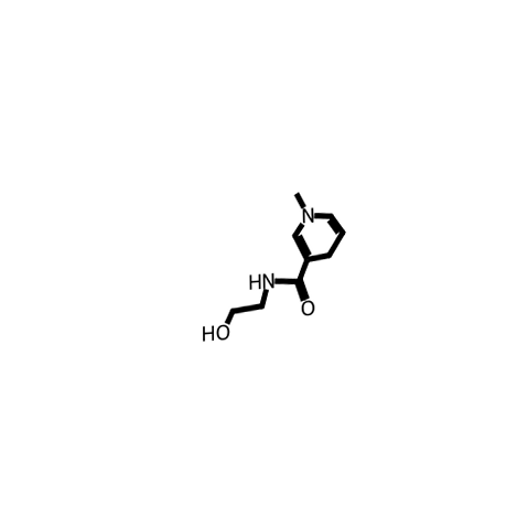 CN1C=CCC(C(=O)NCCO)=C1